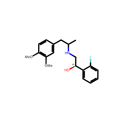 COc1ccc(CC(C)NC[C@H](O)c2ccccc2F)cc1OC